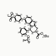 CC(C)(C)OC(=O)N1Cc2nc3ccc(-c4ccc(S(C)(=O)=O)cc4)cc3n2C(c2ccccc2OC(F)F)C1